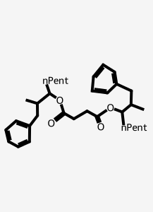 CCCCCC(OC(=O)CCC(=O)OC(CCCCC)C(C)Cc1ccccc1)C(C)Cc1ccccc1